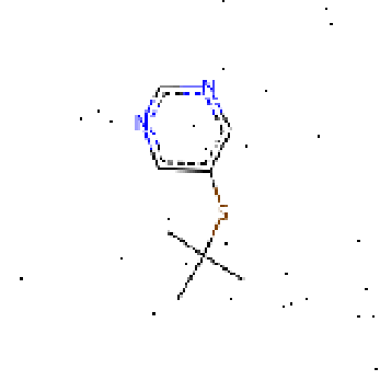 CC(C)(C)Sc1cncnc1